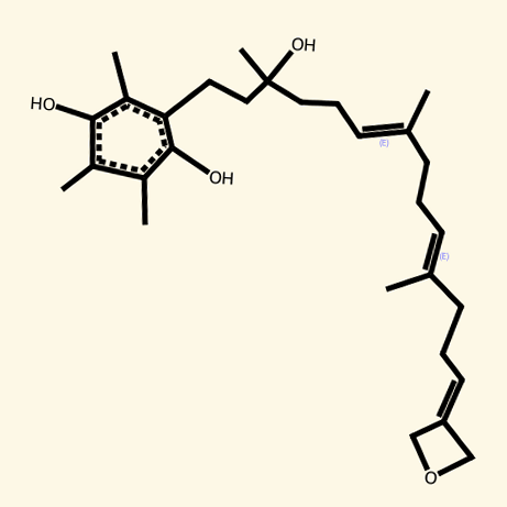 C/C(=C\CC/C(C)=C/CCC(C)(O)CCc1c(C)c(O)c(C)c(C)c1O)CCC=C1COC1